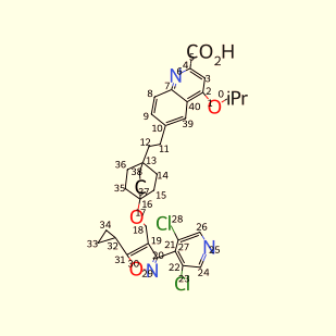 CC(C)Oc1cc(C(=O)O)nc2ccc(CCC34CCC(OCc5c(-c6c(Cl)cncc6Cl)noc5C5CC5)(CC3)CC4)cc12